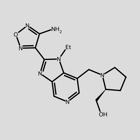 CCn1c(-c2nonc2N)nc2cncc(CN3CCC[C@H]3CO)c21